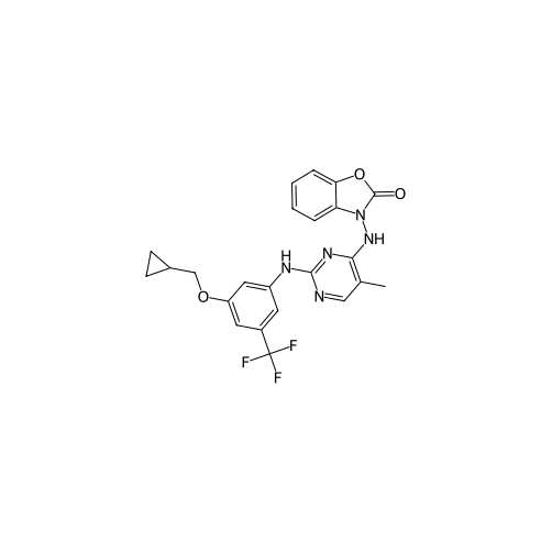 Cc1cnc(Nc2cc(OCC3CC3)cc(C(F)(F)F)c2)nc1Nn1c(=O)oc2ccccc21